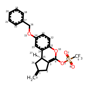 C=C1CC2=C(OS(=O)(=O)C(F)(F)F)Oc3ccc(OCc4ccccc4)cc3[C@@H]2C1